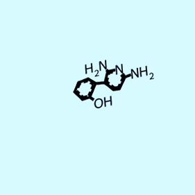 Nc1ccc(-c2ccccc2O)c(N)n1